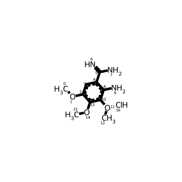 COc1cc(C(=N)N)c(N)c(OC)c1OC.Cl